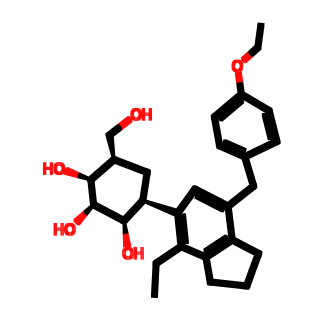 CCOc1ccc(Cc2cc([C@@H]3C[C@H](CO)[C@H](O)[C@H](O)[C@@H]3O)c(CC)c3c2CCC3)cc1